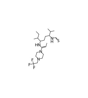 C/C=C(\NC(CCC(NC=S)C(C)C)C(C)CC)N1CCN(CC(F)(F)F)CC1